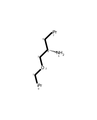 CC(C)COC[C@@H](N)CC(C)C